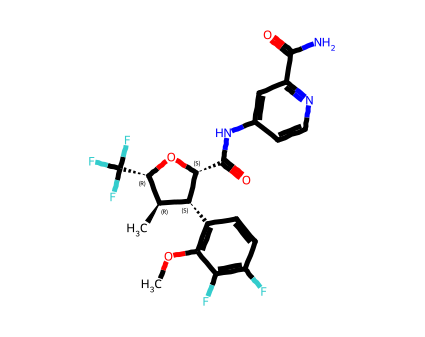 COc1c([C@@H]2[C@@H](C)[C@H](C(F)(F)F)O[C@@H]2C(=O)Nc2ccnc(C(N)=O)c2)ccc(F)c1F